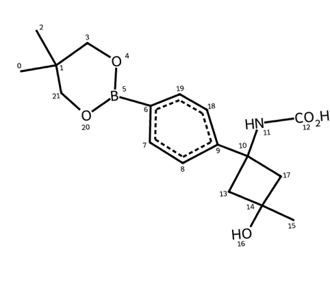 CC1(C)COB(c2ccc(C3(NC(=O)O)CC(C)(O)C3)cc2)OC1